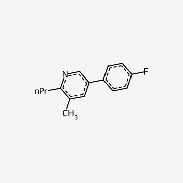 CCCc1ncc(-c2ccc(F)cc2)cc1C